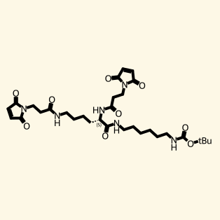 CC(C)(C)OC(=O)NCCCCCCNC(=O)[C@H](CCCCNC(=O)CCN1C(=O)C=CC1=O)NC(=O)CCN1C(=O)C=CC1=O